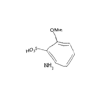 COc1ccccc1S(=O)(=O)O.N